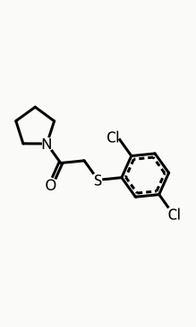 O=C(CSc1cc(Cl)ccc1Cl)N1CCCC1